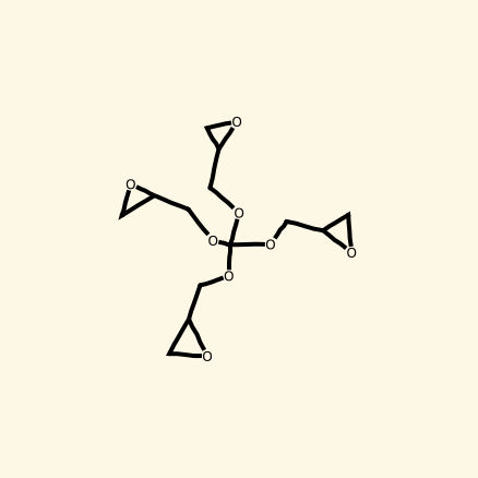 C1OC1COC(OCC1CO1)(OCC1CO1)OCC1CO1